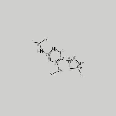 COc1cc(NC(C)C)ncc1-n1cnc(C)c1